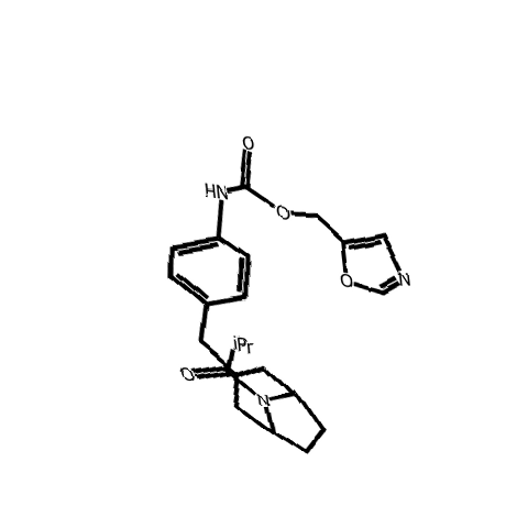 CC(C)C(=O)N1C2CCC1CC(Cc1ccc(NC(=O)OCc3cnco3)cc1)C2